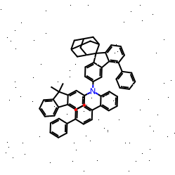 CC1(C)c2ccccc2-c2ccc(N(c3ccc4c(c3)-c3c(-c5ccccc5)cccc3C43C4CC5CC(C4)CC3C5)c3ccccc3-c3ccc(-c4ccccc4)cc3)cc21